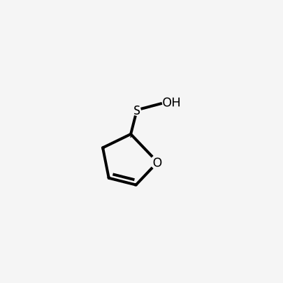 OS[C]1CC=CO1